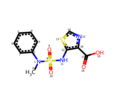 CN(c1ccccc1)S(=O)(=O)Nc1scnc1C(=O)O